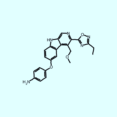 CCc1noc(-c2ncc3[nH]c4ccc(Oc5ccc(N)cc5)cc4c3c2COC)n1